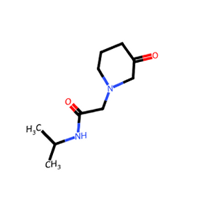 CC(C)NC(=O)CN1CCCC(=O)C1